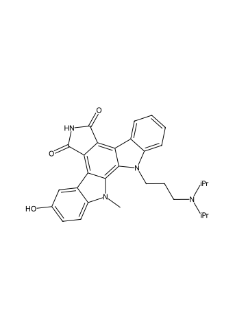 CC(C)N(CCCn1c2ccccc2c2c3c(c4c5cc(O)ccc5n(C)c4c21)C(=O)NC3=O)C(C)C